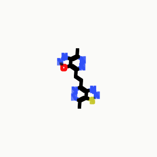 Cc1nnc(CCc2nnc(C)c3snnc23)c2onnc12